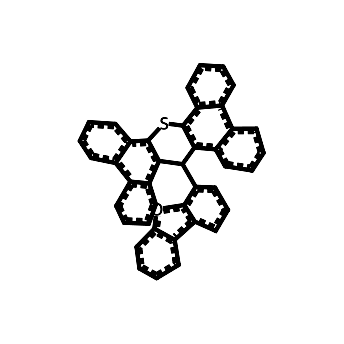 c1ccc2c(c1)oc1c(C3c4c(c5ccccc5c5ccccc45)Sc4c3c3ccccc3c3ccccc43)cccc12